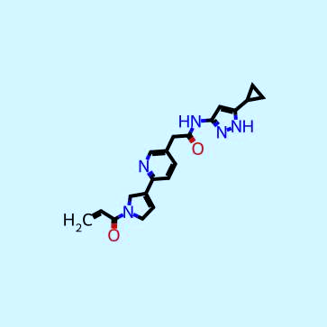 C=CC(=O)N1CC=C(c2ccc(CC(=O)Nc3cc(C4CC4)[nH]n3)cn2)C1